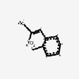 CC(=O)/C(=C/c1ccccc1C)[N+](=O)[O-]